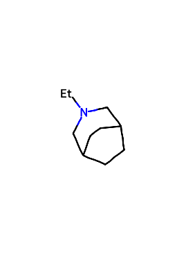 CCN1CC2CCC(CC2)C1